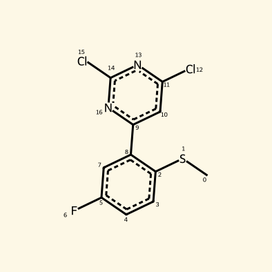 CSc1ccc(F)cc1-c1cc(Cl)nc(Cl)n1